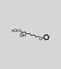 CCCCCCCCC(O)CCCCCCCOc1ccccc1